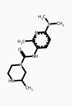 Cc1nc(N(C)C)ccc1NC(=O)N1CCNC(C)C1